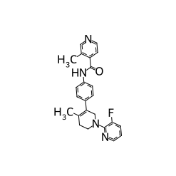 CC1=C(c2ccc(NC(=O)c3ccncc3C)cc2)CN(c2ncccc2F)CC1